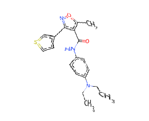 CCN(CC)c1ccc(NC(=O)c2c(-c3ccsc3)noc2C)cc1